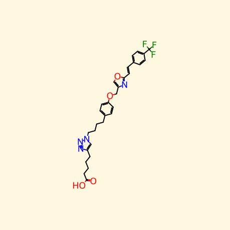 O=C(O)CCCCc1cn(CCCCc2ccc(OCc3coc(/C=C/c4ccc(C(F)(F)F)cc4)n3)cc2)nn1